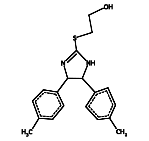 Cc1ccc(C2N=C(SCCO)NC2c2ccc(C)cc2)cc1